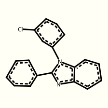 Clc1cccc(-n2c(-c3ccccc3)nc3ccccc32)c1